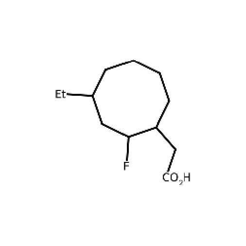 CCC1CCCCC(CC(=O)O)C(F)C1